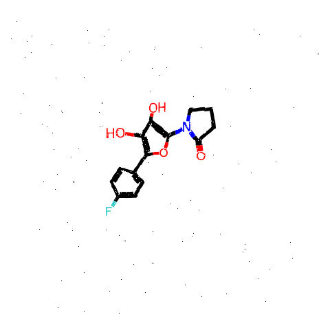 O=C1CCCN1c1oc(-c2ccc(F)cc2)c(O)c1O